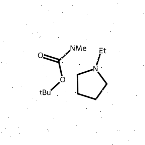 CCN1CCCC1.CNC(=O)OC(C)(C)C